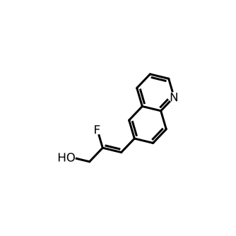 OCC(F)=Cc1ccc2ncccc2c1